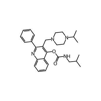 CC(C)CNC(=O)Oc1c(CN2CCN(C(C)C)CC2)c(-c2ccccc2)nc2ccccc12